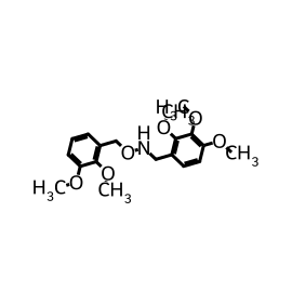 COc1cccc(CONCc2ccc(OC)c(OC)c2OC)c1OC